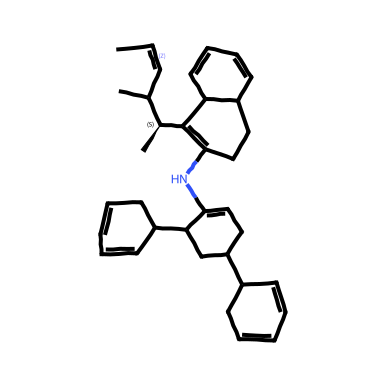 C/C=C\C(C)[C@H](C)C1=C(NC2=CCC(C3C=CC=CC3)CC2C2C=CC=CC2)CCC2C=CC=CC12